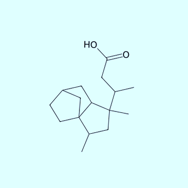 CC(CC(=O)O)C1(C)CC(C)C23CCC(CC12)C3